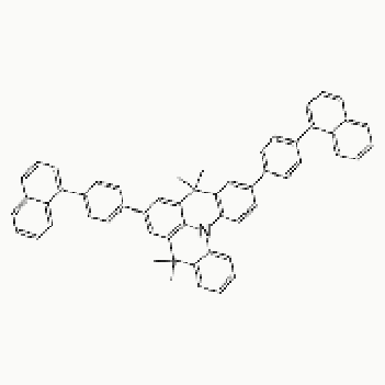 CC1(C)c2ccccc2N2c3ccc(-c4ccc(-c5cccc6ccccc56)cc4)cc3C(C)(C)c3cc(-c4ccc(-c5cccc6ccccc56)cc4)cc1c32